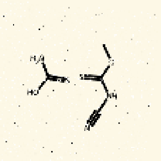 COC(=S)NC#N.NC(O)=S